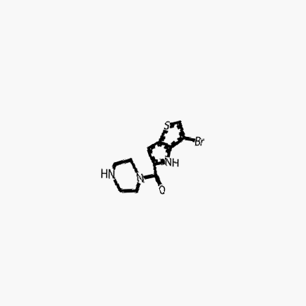 O=C(c1cc2scc(Br)c2[nH]1)N1CCNCC1